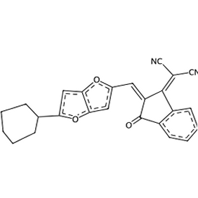 N#CC(C#N)=C1/C(=C/c2cc3oc(C4CCCCC4)cc3o2)C(=O)c2ccccc21